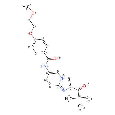 COCCOc1ccc(C(=O)Nc2ccc3nc(C(=O)C(C)(C)C)cn3c2)cc1